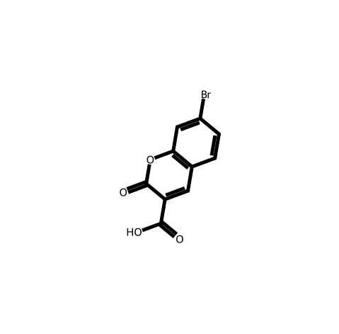 O=C(O)c1cc2ccc(Br)cc2oc1=O